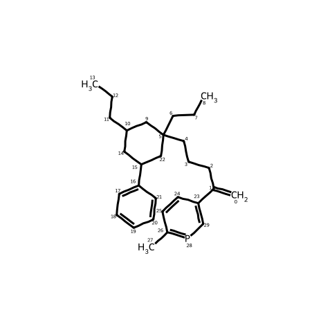 C=C(CCCC1(CCC)CC(CCC)CC(c2ccccc2)C1)c1ccc(C)pc1